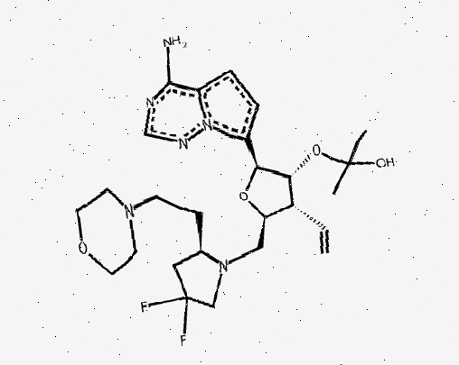 C=C[C@H]1[C@@H](OC(C)(C)O)[C@H](c2ccc3c(N)ncnn23)O[C@@H]1CN1CC(F)(F)C[C@H]1CCN1CCOCC1